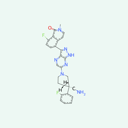 Cn1ccc2c(-c3n[nH]c4nc(N5CC[C@@H]6[C@H](C5)[C@@]6(CN)c5ccccc5F)cnc34)ccc(F)c2c1=O